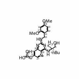 CCCC[C@](C)(CO)Nc1nc(NCc2ccc(OC)cc2OC)nc2cc(OB(O)O)cnc12